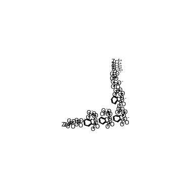 O=P([O-])([O-])[O-].O=P([O-])([O-])[O-].O=P([O-])([O-])[O-].O=P([O-])([O-])[O-].O=P([O-])([O-])c1ccccc1S(=O)(=O)P(=O)([O-])[O-].O=P([O-])([O-])c1ccccc1S(=O)(=O)P(=O)([O-])[O-].O=P([O-])([O-])c1ccccc1S(=O)(=O)P(=O)([O-])[O-].O=P([O-])([O-])c1ccccc1S(=O)(=O)P(=O)([O-])[O-].[Zr+4].[Zr+4].[Zr+4].[Zr+4].[Zr+4].[Zr+4].[Zr+4]